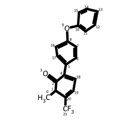 CC1C(=O)C(c2ccc(Oc3ccccc3)cc2)=CC=C1C(F)(F)F